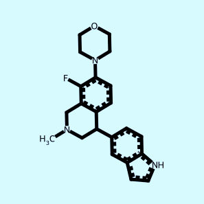 CN1Cc2c(ccc(N3CCOCC3)c2F)C(c2ccc3[nH]ccc3c2)C1